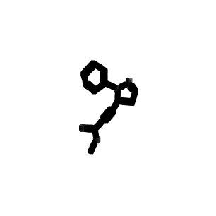 COC(=O)C#Cc1ccnn1-c1ccccc1